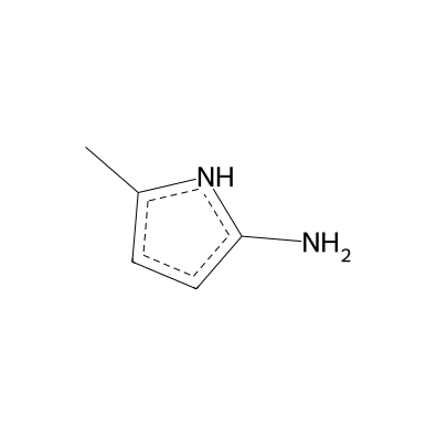 Cc1ccc(N)[nH]1